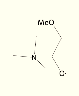 CN(C)C.COCC[O]